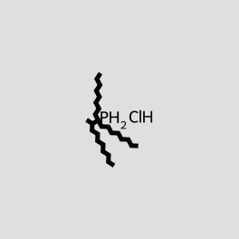 CCCCCCCCC(C)C(P)(CCCCCCCC)CCCCCCCC.Cl